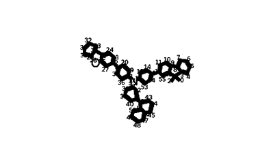 CC1(C)c2ccccc2-c2ccc(-c3ccc(N(c4ccc(-c5ccc6c(c5)oc5ccccc56)cc4)c4cccc(-c5cccc6ccccc56)c4)cc3)cc21